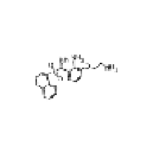 N=C(c1cccc(OCCN)c1N)S(=O)(=O)c1cccc2ccccc12